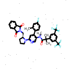 Cc1cc(F)ccc1-c1cc(N2CCC[C@H]2CN2C(=O)c3ccccc3C2=O)ncc1N(C)C(=O)C(C)(C)c1cc(C(F)(F)F)cc(C(F)(F)F)c1